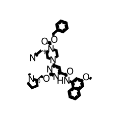 COc1cc(NC(=O)c2cc(N3CCN(C(=O)OCc4ccccc4)[C@@H](CC#N)C3)nc(OC[C@H]3CCCN3C)n2)c2ccccc2c1